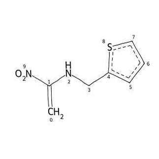 C=C(NCc1cccs1)[N+](=O)[O-]